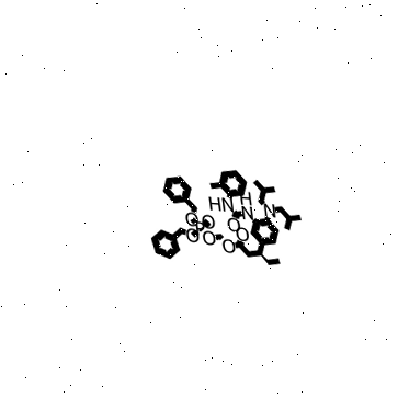 CC[C@@H](CC(=O)OCOP(=O)(OCc1ccccc1)OCc1ccccc1)c1ccc(N(CC(C)C)CC(C)C)c(NC(=O)Nc2ccccc2C)c1